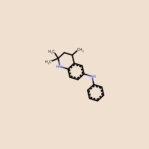 CC1CC(C)(C)Nc2ccc(Nc3ccccc3)cc21